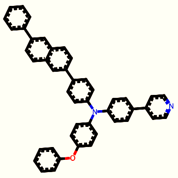 c1ccc(Oc2ccc(N(c3ccc(-c4ccncc4)cc3)c3ccc(-c4ccc5cc(-c6ccccc6)ccc5c4)cc3)cc2)cc1